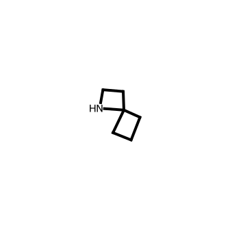 C1CC2(C1)CCN2